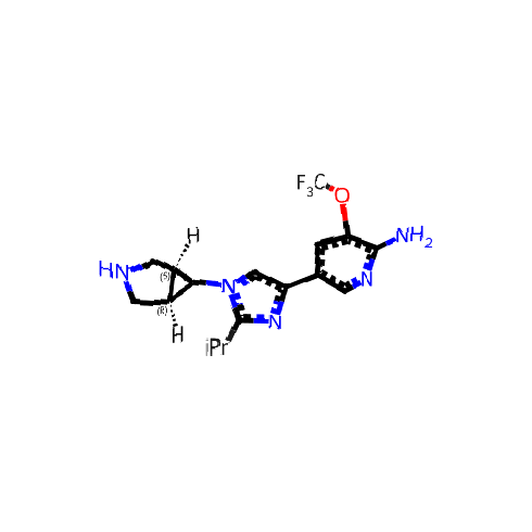 CC(C)c1nc(-c2cnc(N)c(OC(F)(F)F)c2)cn1C1[C@H]2CNC[C@@H]12